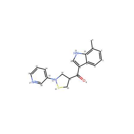 Cc1cccc2c(C(=O)C3CSN(c4cccnc4)C3)c[nH]c12